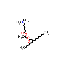 CCCCCCCCC(CCCCCC)CC(=O)OCC(C)OC(=O)CCCCCN(C)C